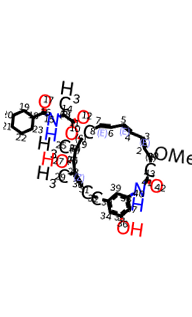 CO[C@H]1/C=C/C=C/C=C/C[C@H](OC(=O)[C@@H](C)NC(=O)C2CCCCC2)[C@H](C)[C@@H](O)/C(C)=C\CCc2cc(O)cc(c2)NC(=O)C1